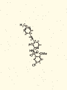 COc1ncc(Cl)cc1S(=O)(=O)Nc1nccc(C#Cc2cnc(C)nc2)c1F